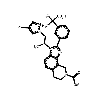 COC(=O)N1CCc2ccc3c(nc(-c4cccc(C(C)(C)C(=O)O)c4)n3[C@@H](C)Cn3cc(Cl)cn3)c2C1